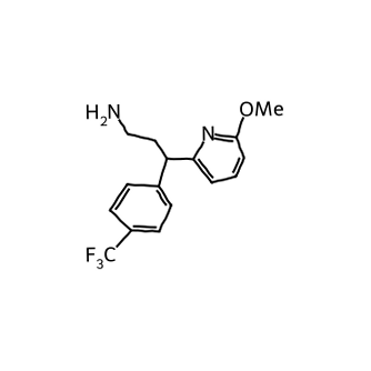 COc1cccc(C(CCN)c2ccc(C(F)(F)F)cc2)n1